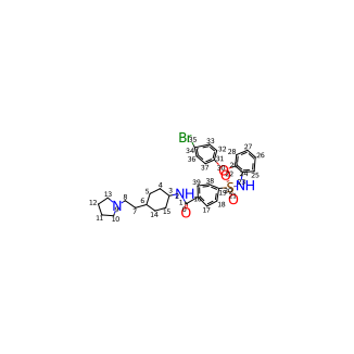 O=C(NC1CCC(CCN2CCCC2)CC1)c1ccc(S(=O)(=O)Nc2ccccc2Oc2ccc(Br)cc2)cc1